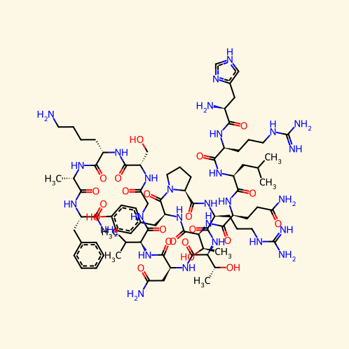 CC(C)C[C@H](NC(=O)[C@H](CCCNC(=N)N)NC(=O)[C@@H](N)Cc1c[nH]cn1)C(=O)N[C@@H](CCC(N)=O)C(=O)N[C@H](C(=O)N[C@@H](Cc1ccc(O)cc1)C(=O)N1CCC[C@H]1C(=O)N[C@@H](CCCNC(=N)N)C(=O)N[C@H](C(=O)N[C@@H](CC(N)=O)C(=O)N[C@H](C(=O)NCC(=O)N[C@@H](CO)C(=O)N[C@@H](CCCCN)C(=O)N[C@@H](C)C(=O)N[C@@H](Cc1ccccc1)C(N)=O)C(C)C)[C@@H](C)O)[C@@H](C)O